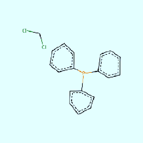 ClCCl.c1ccc(P(c2ccccc2)c2ccccc2)cc1